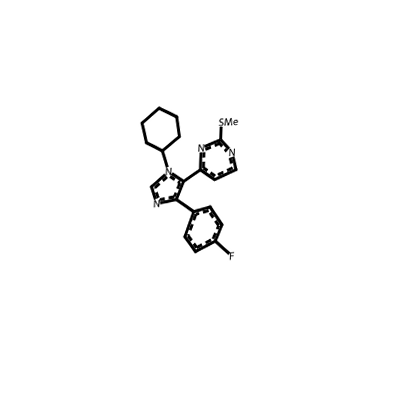 CSc1nccc(-c2c(-c3ccc(F)cc3)ncn2C2CCCCC2)n1